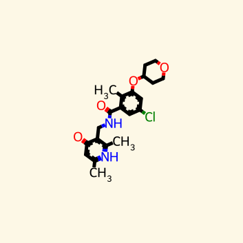 Cc1cc(=O)c(CNC(=O)c2cc(Cl)cc(OC3CCOCC3)c2C)c(C)[nH]1